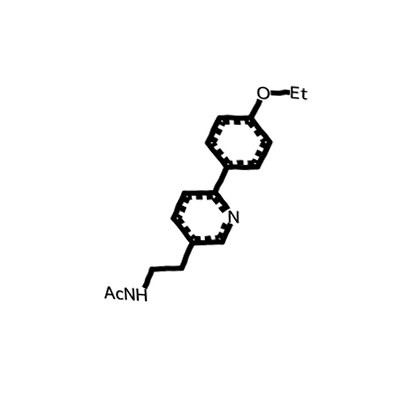 CCOc1ccc(-c2ccc(CCNC(C)=O)cn2)cc1